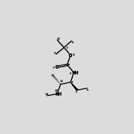 CC[C@H](NC(=O)OC(C)(C)C)[C@@H](C)NC